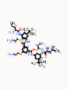 CCC[C@@H](N)C(=O)Nc1cc(C(C)(C)C)cc(NC(=O)c2cc(OCCN)cc(C(=O)Nc3cc(C(C)(C)C)cc(NC(=O)[C@H](N)CC(C)C)c3SCCN)c2)c1SCCN